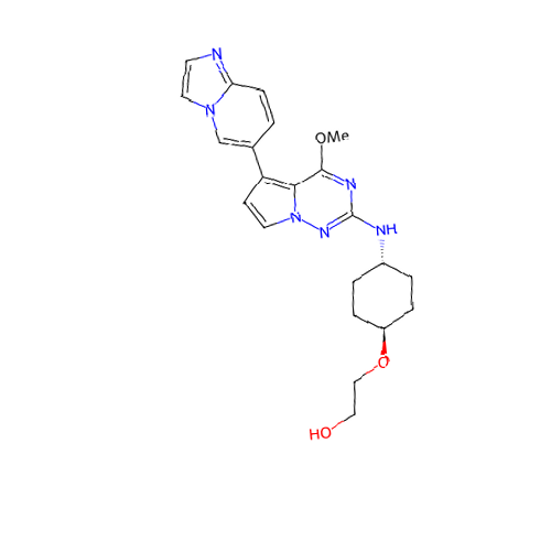 COc1nc(N[C@H]2CC[C@H](OCCO)CC2)nn2ccc(-c3ccc4nccn4c3)c12